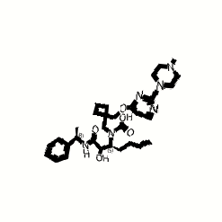 CCCC[C@@H](C(O)C(=O)N[C@H](C)c1ccccc1)N(CC1(COc2ccnc(N3CCN(C)CC3)n2)CCC1)C(=O)O